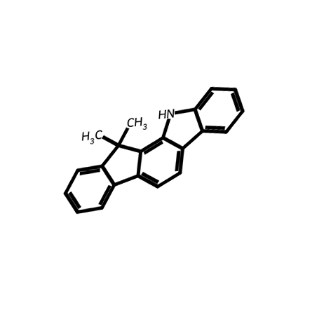 CC1(C)c2ccccc2-c2ccc3c([nH]c4ccccc43)c21